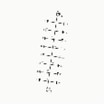 FC(F)(F)C(F)(F)C(F)(F)C(F)(F)C(F)(F)C(F)(F)C(F)(F)C(F)(F)C(F)(I)C(F)(F)F